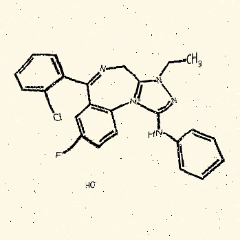 CCn1nc(Nc2ccccc2)[n+]2c1CN=C(c1ccccc1Cl)c1cc(F)ccc1-2.[OH-]